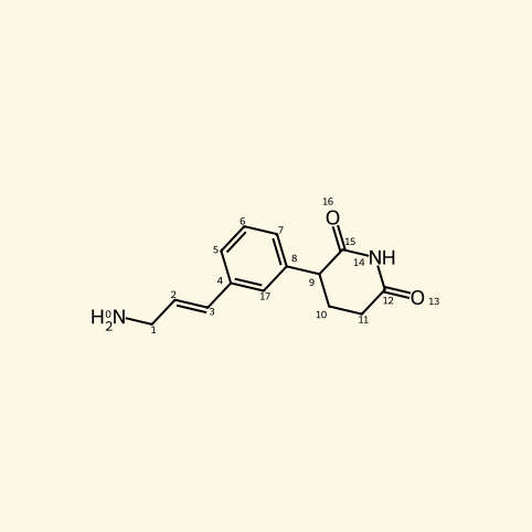 NC/C=C/c1cccc(C2CCC(=O)NC2=O)c1